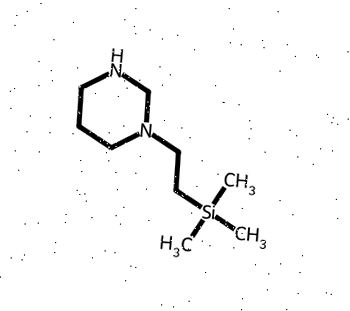 C[Si](C)(C)CCN1CCCNC1